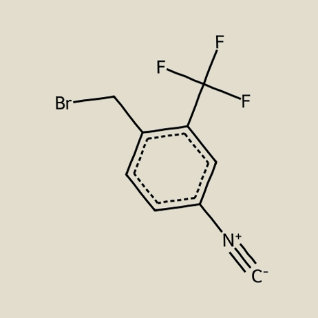 [C-]#[N+]c1ccc(CBr)c(C(F)(F)F)c1